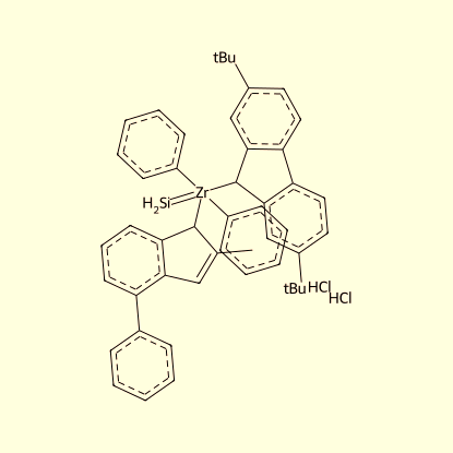 CC1=Cc2c(-c3ccccc3)cccc2[CH]1[Zr](=[SiH2])([c]1ccccc1)([c]1ccccc1)[CH]1c2cc(C(C)(C)C)ccc2-c2ccc(C(C)(C)C)cc21.Cl.Cl